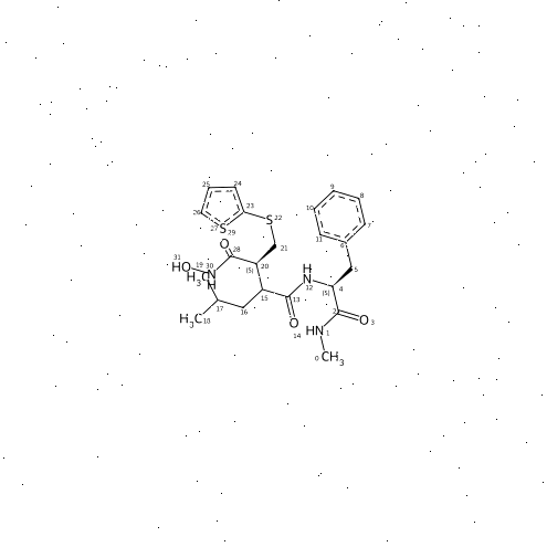 CNC(=O)[C@H](Cc1ccccc1)NC(=O)C(CC(C)C)[C@H](CSc1cccs1)C(=O)NO